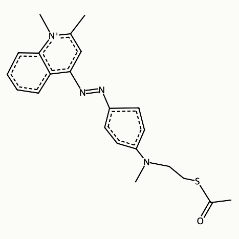 CC(=O)SCCN(C)c1ccc(/N=N/c2cc(C)[n+](C)c3ccccc23)cc1